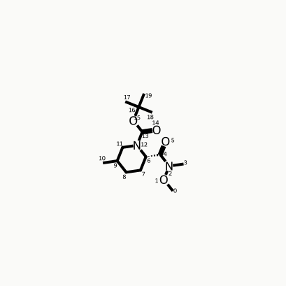 CON(C)C(=O)[C@@H]1CCC(C)CN1C(=O)OC(C)(C)C